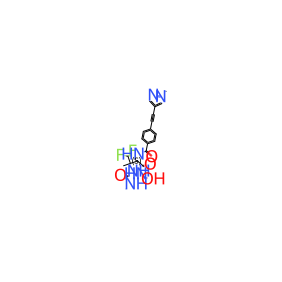 CNC(=O)NC(C)(C(F)F)[C@H](NC(=O)c1ccc(C#Cc2cnn(C)c2)cc1)C(=O)NO